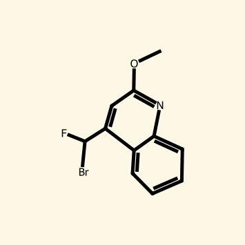 COc1cc(C(F)Br)c2ccccc2n1